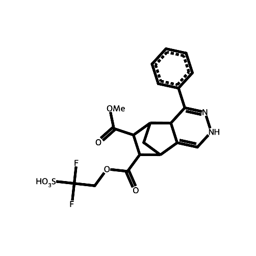 COC(=O)C1C2CC(C3=CNN=C(c4ccccc4)C32)C1C(=O)OCC(F)(F)S(=O)(=O)O